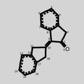 O=C1Cc2ccccc2C1=C1Cc2ccccc2C1